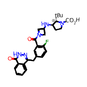 CC(C)(C)[C@H]1C(NC2CN(C(=O)c3cc(Cc4n[nH]c(=O)c5ccccc45)ccc3F)C2)CCN1C(=O)O